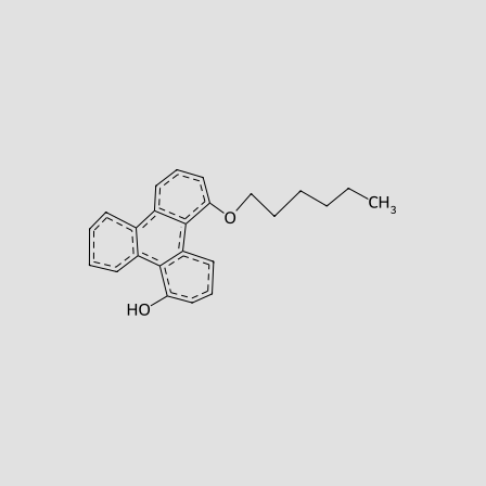 CCCCCCOc1cccc2c3ccccc3c3c(O)cccc3c12